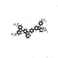 C/C=C\c1c(N)n(-c2ccc(C)cc2)c2ccc(-c3ccc(-n4c5ccc(-n6c7ccc(C)cc7c7cc(C)cnc76)cc5c5cccnc54)cc3)cc12